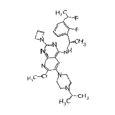 COc1nc2nc(N3CCC3)nc(N[C@H](C)c3cccc(C(C)F)c3F)c2cc1N1CCN(C(C)C)CC1